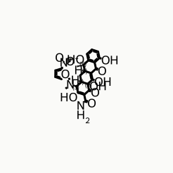 CN(C)[C@@H]1C(O)=C(C(N)=O)C(=O)[C@@]2(O)C(O)=C3C(=O)c4c(O)cccc4[C@@](C)(O)[C@H]3C[C@@H]12.O=[N+]([O-])c1ccco1